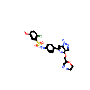 COc1ccc(Cl)c(S(=O)(=O)Nc2ccc(-c3cc4[nH]ncc4c(OCC4CNCCO4)n3)cc2)c1